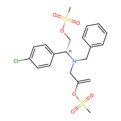 C=C(CN(Cc1ccccc1)[C@@H](COS(C)(=O)=O)c1ccc(Cl)cc1)OS(C)(=O)=O